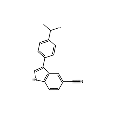 [CH2]C(C)c1ccc(-c2c[nH]c3ccc(C#N)cc23)cc1